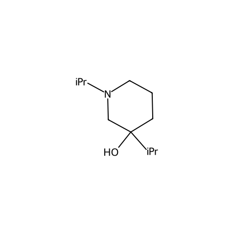 CC(C)N1CCCC(O)(C(C)C)C1